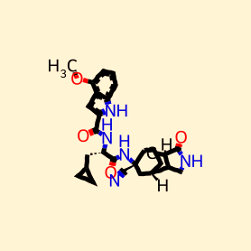 COc1cccc2[nH]c(C(=O)N[C@@H](CC3CC3)C(=O)N[C@@]3(C#N)C[C@@H]4CCC3C[C@H]3C(=O)NCC43)cc12